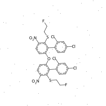 O=[N+]([O-])c1ccc(Oc2ccc([N+](=O)[O-])c(SCCF)c2-c2ccc(Cl)cc2Cl)c(-c2ccc(Cl)cc2Cl)c1SCCF